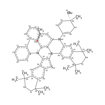 Cc1cc2c3c(c1)N(c1ccccc1-c1ccccc1)c1c(sc4cc5c(cc14)C(C)(C)CCC5(C)C)B3c1cc3c(cc1N2C1=CC[C@@](C)(C(C)(C)C)C=C1)C(C)(C)CCC3(C)C